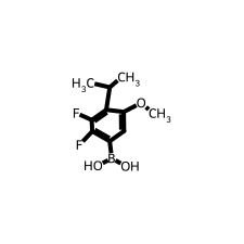 COc1cc(B(O)O)c(F)c(F)c1C(C)C